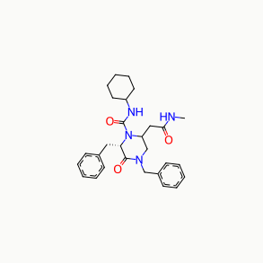 CNC(=O)CC1CN(Cc2ccccc2)C(=O)[C@H](Cc2ccccc2)N1C(=O)NC1CCCCC1